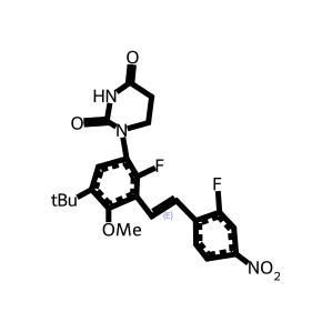 COc1c(C(C)(C)C)cc(N2CCC(=O)NC2=O)c(F)c1/C=C/c1ccc([N+](=O)[O-])cc1F